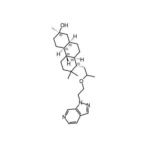 CC(C[C@H]1[C@@H]2CC[C@@H]3C[C@](C)(O)CC[C@@H]3[C@H]2CCC1(C)C)OCCn1ncc2ccncc21